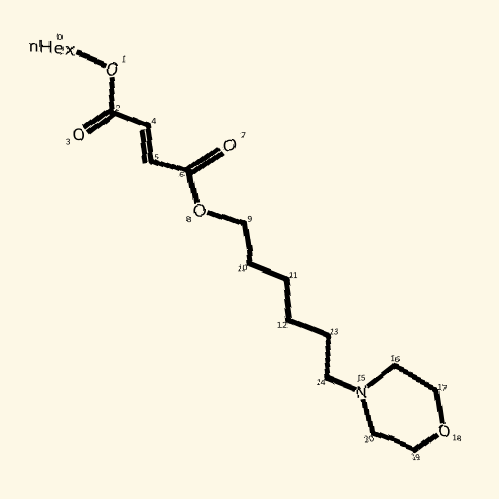 CCCCCCOC(=O)/C=C/C(=O)OCCCCCCN1CCOCC1